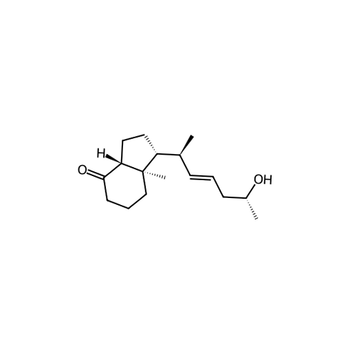 C[C@@H](O)C/C=C/[C@H](C)[C@H]1CC[C@H]2C(=O)CCC[C@]12C